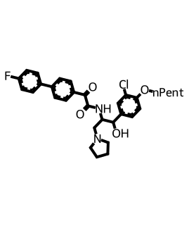 CCCCCOc1ccc(C(O)C(CN2CCCC2)NC(=O)C(=O)c2ccc(-c3ccc(F)cc3)cc2)cc1Cl